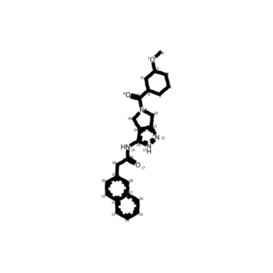 COC1CCCC(C(=O)N2Cc3n[nH]c(NC(=O)Cc4ccc5ccccc5c4)c3C2)C1